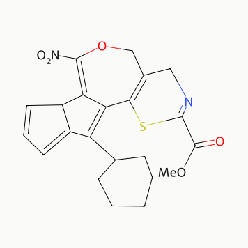 COC(=O)C1=NCC2=C(S1)C1=C(C3CCCCC3)C3=CC=CC3C1=C([N+](=O)[O-])OC2